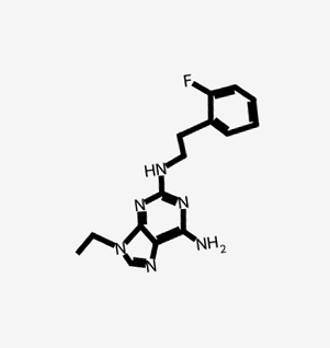 CCn1cnc2c(N)nc(NCCc3ccccc3F)nc21